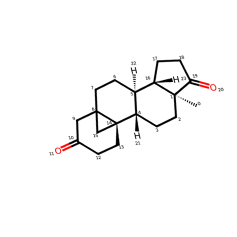 C[C@]12CC[C@H]3[C@@H](CCC45CC(=O)CC[C@]34C5)[C@@H]1CCC2=O